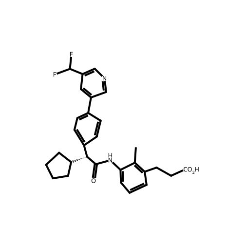 Cc1c(CCC(=O)O)cccc1NC(=O)[C@@H](c1ccc(-c2cncc(C(F)F)c2)cc1)C1CCCC1